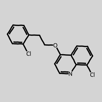 Clc1ccccc1CCOc1ccnc2c(Cl)cccc12